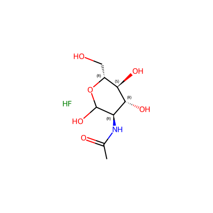 CC(=O)N[C@H]1C(O)O[C@H](CO)[C@@H](O)[C@@H]1O.F